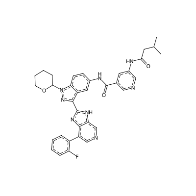 CC(C)CC(=O)Nc1cncc(C(=O)Nc2ccc3c(c2)c(-c2nc4c(-c5ccccc5F)cncc4[nH]2)nn3C2CCCCO2)c1